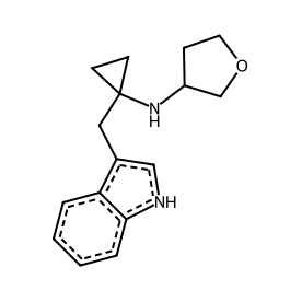 c1ccc2c(CC3(NC4CCOC4)CC3)c[nH]c2c1